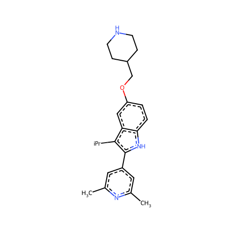 Cc1cc(-c2[nH]c3ccc(OCC4CCNCC4)cc3c2C(C)C)cc(C)n1